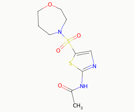 CC(=O)Nc1ncc(S(=O)(=O)N2CCCOCC2)s1